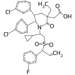 C=CC(c1cccc(F)c1)S(=O)(=O)CC(C1CC1)N1C(=O)C(CC)(CC(=O)O)CC(c2cccc(Cl)c2)C1c1ccc(Cl)cc1